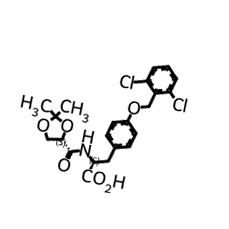 CC1(C)OC[C@@H](C(=O)N[C@@H](Cc2ccc(OCc3c(Cl)cccc3Cl)cc2)C(=O)O)O1